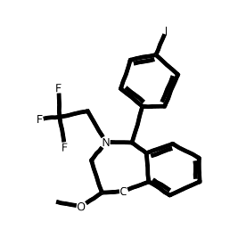 COC1Cc2ccccc2C(c2ccc(I)cc2)N(CC(F)(F)F)C1